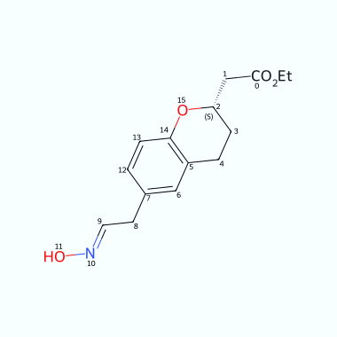 CCOC(=O)C[C@@H]1CCc2cc(CC=NO)ccc2O1